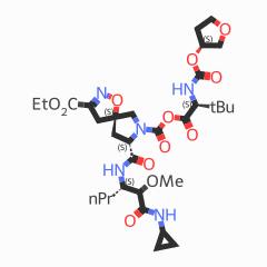 CCC[C@H](NC(=O)[C@@H]1C[C@]2(CC(C(=O)OCC)=NO2)CN1C(=O)OC(=O)[C@@H](NC(=O)O[C@H]1CCOC1)C(C)(C)C)C(OC)C(=O)NC1CC1